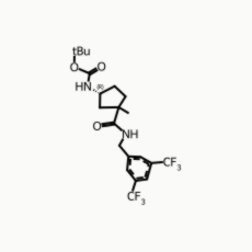 CC(C)(C)OC(=O)N[C@@H]1CCC(C)(C(=O)NCc2cc(C(F)(F)F)cc(C(F)(F)F)c2)C1